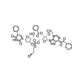 CO[C@H]1[C@@H](OC(=O)c2ccccc2)[C@@H](COP(=O)(OCCC#N)OC2C[C@H](n3cc(-c4ccccc4)c(=O)[nH]c3=O)O[C@@H]2CO)O[C@H]1n1cnc2c(NC(=O)c3ccccc3)ncnc21